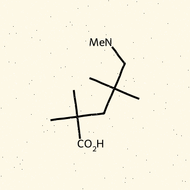 CNCC(C)(C)CC(C)(C)C(=O)O